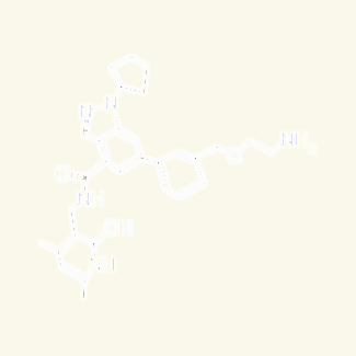 CC1=CC(C)=C(CNC(=O)c2cc(-c3cccc(COCCN)c3)cc3c2cnn3C2CCCC2)C(O)N1